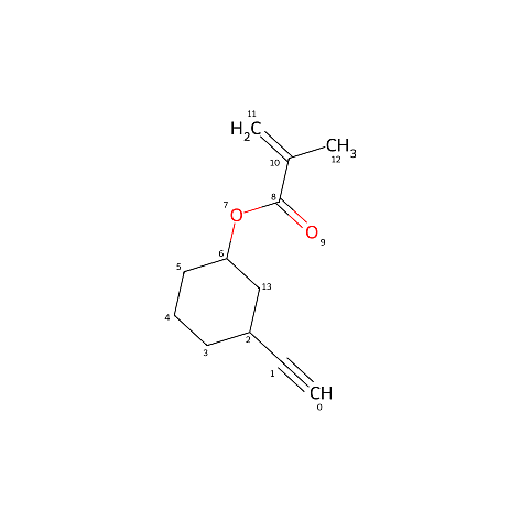 C#CC1CCCC(OC(=O)C(=C)C)C1